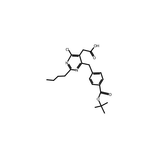 CCCCc1nc(Cl)c(CC(=O)O)c(Cc2ccc(C(=O)OC(C)(C)C)cc2)n1